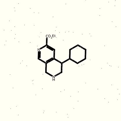 CCOC(=O)c1cc2c(cn1)CNCC2C1CCCCC1